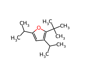 CC(C)c1cc(C(C)C)c(C(C)(C)C)o1